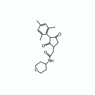 Cc1cc(C)c(C2C(=O)CC(CC(=O)NC3CCOCC3)C2=O)c(C)c1